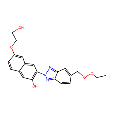 CCOOCc1ccc2nn(-c3cc4cc(OCCO)ccc4cc3O)nc2c1